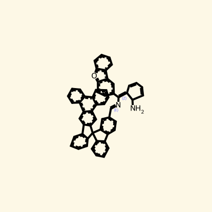 NC1C=CC=C/C1=C(/N=C/c1ccc2c(c1)C1(c3ccccc3-2)c2ccccc2-c2cc3c4ccccc4c4ccccc4c3cc21)c1ccc2oc3ccccc3c2c1